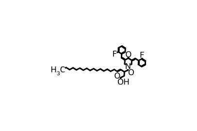 CCCCCCCCCCCCCCCCC=CC(CC(=O)O)C(=O)N1CC(=Cc2ccccc2F)C(=O)C(=Cc2ccccc2F)C1